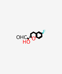 O=CC(O)[C@@H]1CCc2cc(F)ccc2O1